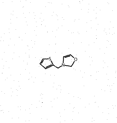 C1=CN(Cc2cccs2)CO1